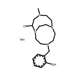 CN1CCN2CCN(Cc3ccccc3O)CCN(CC2)C(Cl)C1.[Mn]